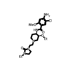 CCO[C@H]1CN(CCN2CCN(CC)C2=O)CC[C@H]1NC(=O)c1cc(Cl)c(N)cc1OC